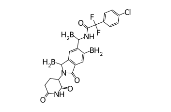 Bc1cc2c(cc1C(B)NC(=O)C(F)(F)c1ccc(Cl)cc1)C(B)N(C1CCC(=O)NC1=O)C2=O